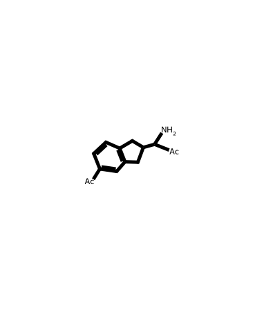 CC(=O)c1ccc2c(c1)CC(C(N)C(C)=O)C2